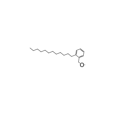 CCCCCCCCCCCCc1ccccc1C[O]